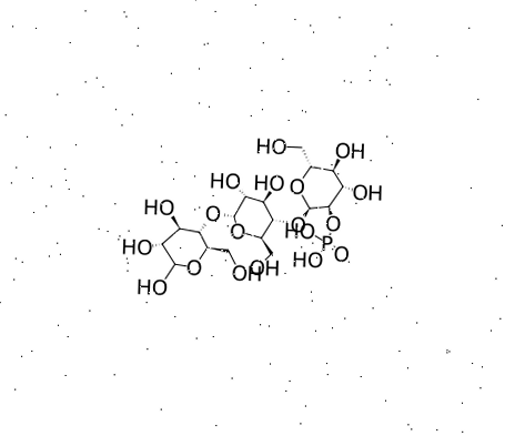 O=P(O)(O)O[C@H]1[C@@H](O[C@H]2[C@H](O)[C@@H](O)[C@@H](O[C@H]3[C@H](O)[C@@H](O)C(O)O[C@@H]3CO)O[C@@H]2CO)O[C@H](CO)[C@@H](O)[C@@H]1O